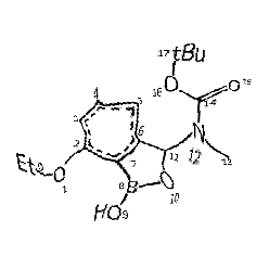 CCOc1cccc2c1B(O)OC2N(C)C(=O)OC(C)(C)C